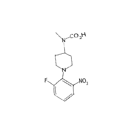 CN(C(=O)O)C1CCN(c2c(F)cccc2[N+](=O)[O-])CC1